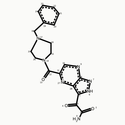 NC(=O)C(=O)c1[nH]nc2ncc(C(=O)N3CCN(Cc4ccccc4)CC3)nc12